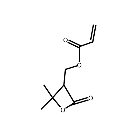 C=CC(=O)OCC1C(=O)OC1(C)C